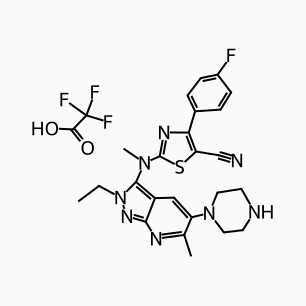 CCn1nc2nc(C)c(N3CCNCC3)cc2c1N(C)c1nc(-c2ccc(F)cc2)c(C#N)s1.O=C(O)C(F)(F)F